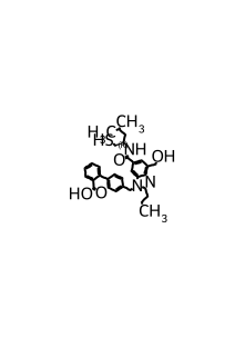 CCCc1nc2c(CO)cc(C(=O)N[C@@H](CS)CC(C)C)cc2n1Cc1ccc(-c2ccccc2C(=O)O)cc1